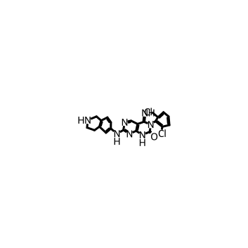 N=c1c2cnc(Nc3ccc4c(c3)CCNC4)nc2[nH]c(=O)n1-c1c(Cl)cccc1Cl